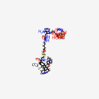 [N-]=[N+]=NCO[C@H]1C[C@H](n2cc(CNC(=O)NCCCCCOCSSCCNC(=O)c3ccc(C(=O)O)c(C4=c5cc6c7c(c5Oc5c4cc4c8c5CCCN8CCC4)CCC[N+]=7CCC6)c3)c3c(N)ncnc32)O[C@@H]1COP(=O)(O)OP(=O)(O)OP(=O)(O)O